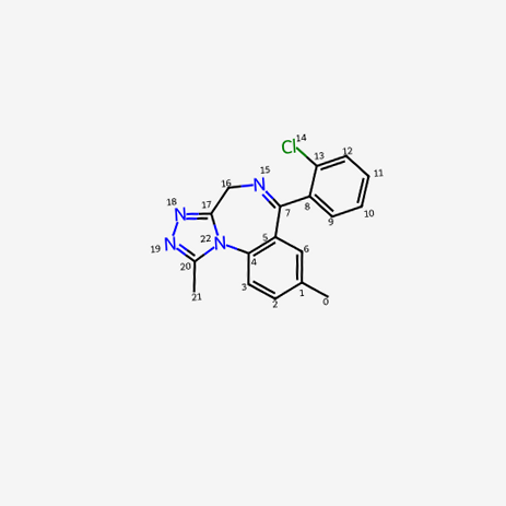 Cc1ccc2c(c1)C(c1ccccc1Cl)=NCc1nnc(C)n1-2